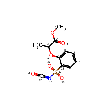 COC(=O)C(C)Oc1ccccc1S(=O)(=O)N=C=O